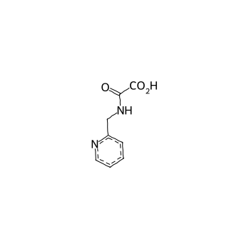 O=C(O)C(=O)NCc1ccccn1